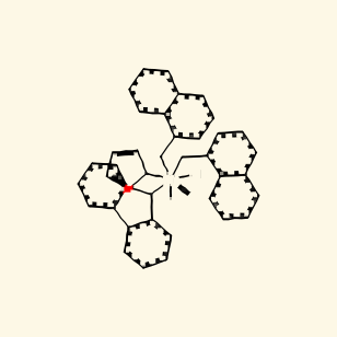 [CH2]=[Zr]([Cl])([Cl])([CH2]c1cccc2ccccc12)([CH2]c1cccc2ccccc12)([CH]1C=CC=C1)[CH]1c2ccccc2-c2ccccc21